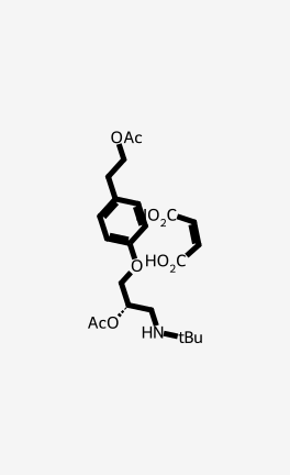 CC(=O)OCCc1ccc(OC[C@H](CNC(C)(C)C)OC(C)=O)cc1.O=C(O)/C=C\C(=O)O